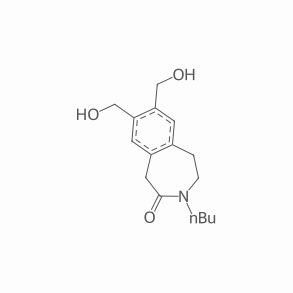 CCCCN1CCc2cc(CO)c(CO)cc2CC1=O